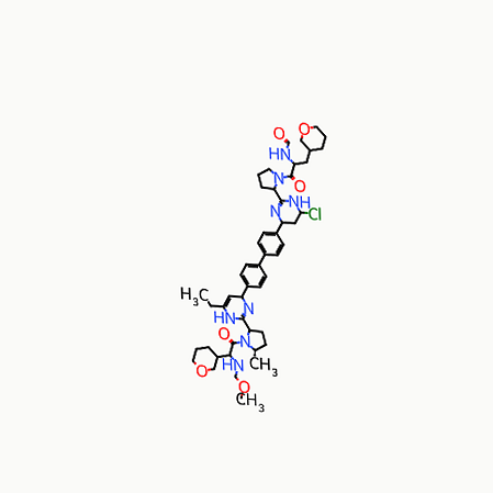 CCC1=CC(c2ccc(-c3ccc(C4CC(Cl)NC(C5CCCN5C(=O)C(CC5CCCOC5)NC=O)=N4)cc3)cc2)N=C(C2CC[C@@H](C)N2C(=O)C(NCOC)C2CCCOC2)N1